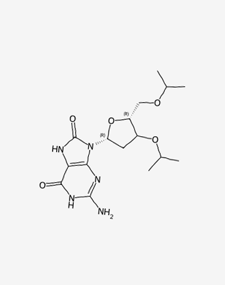 CC(C)OC[C@H]1O[C@@H](n2c(=O)[nH]c3c(=O)[nH]c(N)nc32)CC1OC(C)C